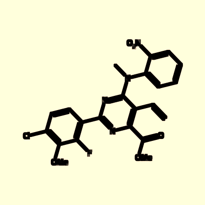 C=Cc1c(C(=O)OC)nc(-c2ccc(Cl)c(OC)c2F)nc1N(C)c1ccccc1[N+](=O)[O-]